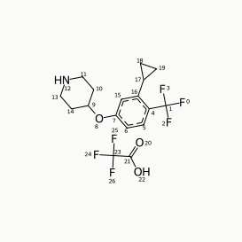 FC(F)(F)c1ccc(OC2CCNCC2)cc1C1CC1.O=C(O)C(F)(F)F